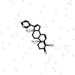 C[C@]12CCC(=O)C(O)=C1C=CC1C2CC[C@]2(C)C(c3cccnc3)=CCC12